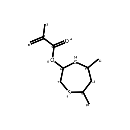 C=C(C)C(=O)OC1CSC(C)CC(C)S1